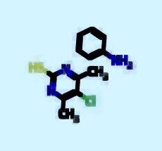 Cc1nc(S)nc(C)c1Cl.Nc1ccccc1